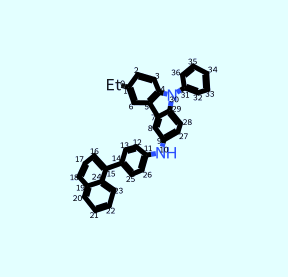 CCc1ccc2c(c1)c1cc(Nc3ccc(-c4cccc5ccccc45)cc3)ccc1n2-c1ccccc1